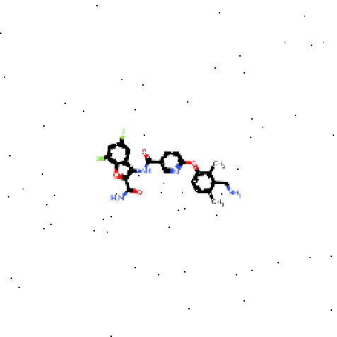 Cc1ccc(Oc2ccc(C(=O)Nc3c(C(N)=O)oc4c(F)cc(F)cc34)cn2)c(C)c1CN